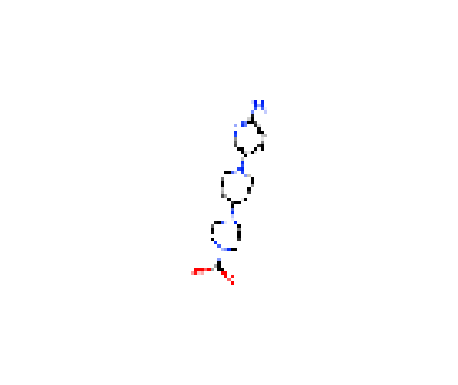 Nc1ccc(N2CCC(N3CCN(C(=O)O)CC3)CC2)cn1